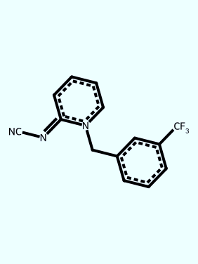 N#CN=c1ccccn1Cc1cccc(C(F)(F)F)c1